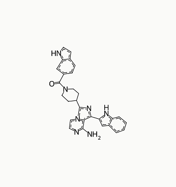 Nc1nccn2c(C3CCN(C(=O)c4ccc5cc[nH]c5c4)CC3)nc(-c3cc4ccccc4[nH]3)c12